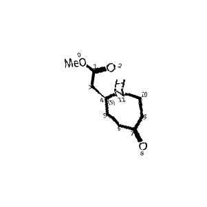 COC(=O)C[C@@H]1CCC(=O)CCN1